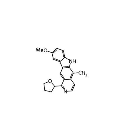 COc1ccc2[nH]c3c(C)c4ccnc(C5CCCO5)c4cc3c2c1